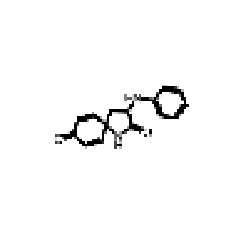 O=C1C=CC2(C=C1)CC(Nc1ccccc1)C(=O)N2